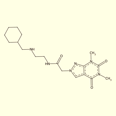 Cn1c(=O)c2cn(CC(=O)NCCNCC3CCCCC3)nc2n(C)c1=O